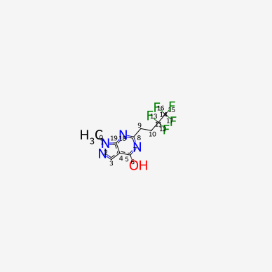 Cn1ncc2c(O)nc(CCC(F)(F)C(F)(F)F)nc21